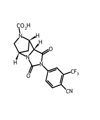 N#Cc1ccc(N2C(=O)[C@H]3[C@@H]4C[C@@H](CN4C(=O)O)N3C2=O)cc1C(F)(F)F